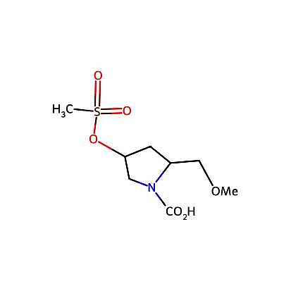 COCC1CC(OS(C)(=O)=O)CN1C(=O)O